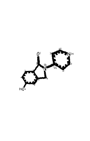 O=C1c2ccc(O)cc2CN1c1ccncc1